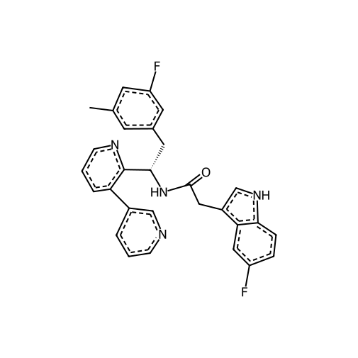 Cc1cc(F)cc(C[C@H](NC(=O)Cc2c[nH]c3ccc(F)cc23)c2ncccc2-c2cccnc2)c1